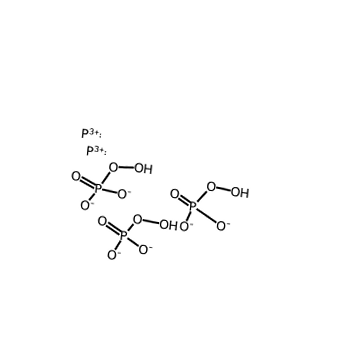 O=P([O-])([O-])OO.O=P([O-])([O-])OO.O=P([O-])([O-])OO.[P+3].[P+3]